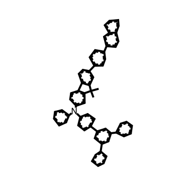 CC1(C)c2cc(-c3ccc(-c4ccc5ccccc5c4)cc3)ccc2-c2ccc(N(c3ccccc3)c3ccc(-c4cc(-c5ccccc5)cc(-c5ccccc5)c4)cc3)cc21